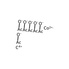 CC(=O)[O-].CC(=O)[O-].CC(=O)[O-].CC(=O)[O-].CC(=O)[O-].CC(=O)[O-].[C+4].[Co+2]